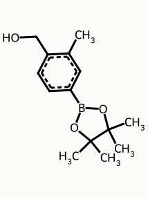 Cc1cc(B2OC(C)(C)C(C)(C)O2)ccc1CO